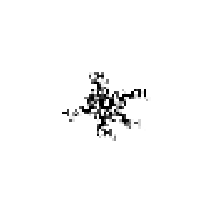 CCCC(=O)OC[C@@H](OC(=O)CCC)[C@@H](OC(=O)CCC)[C@H](OC(=O)CCC)C(OC(=O)CCC)C(=O)O